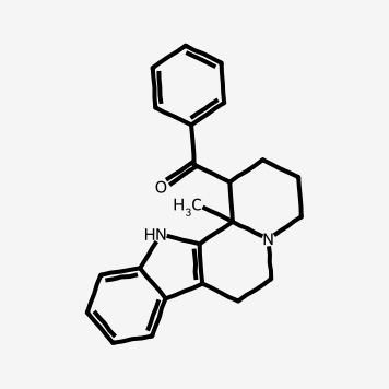 CC12c3[nH]c4ccccc4c3CCN1CCCC2C(=O)c1ccccc1